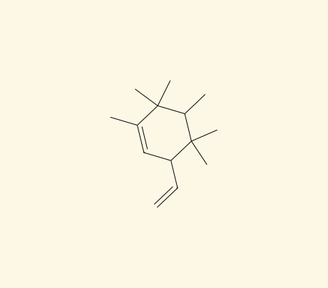 C=CC1C=C(C)C(C)(C)C(C)C1(C)C